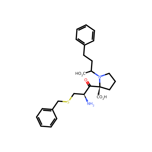 N[C@@H](CSCc1ccccc1)C(=O)[C@@]1(C(=O)O)CCCN1C(CCc1ccccc1)C(=O)O